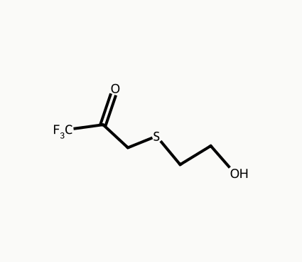 O=C(CSCCO)C(F)(F)F